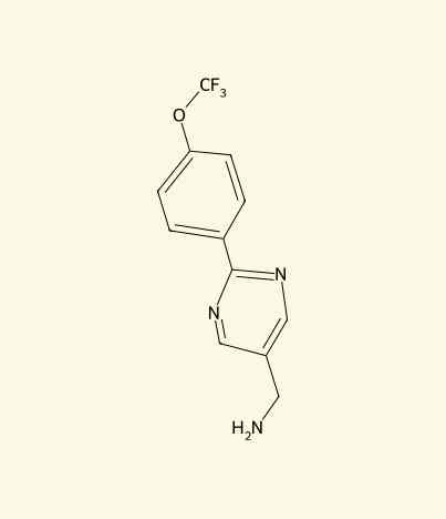 NCc1cnc(-c2ccc(OC(F)(F)F)cc2)nc1